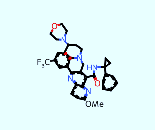 COc1ccc2nc(-c3cccc(C(F)(F)F)c3)c(CN3CCC(N4CCOCC4)CC3)c(C(=O)NC3(c4ccccc4)CC3)c2n1